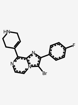 Fc1ccc(-c2nc3c(C4=CCNCC4)nccn3c2Br)cc1